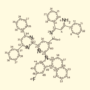 C=C(/N=C(\C=C(/N)c1ccccc1)c1ccccc1)c1cc(-c2nc(-c3ccccc3)cc(-c3ccccc3)n2)nc(-n2c3ccc(F)cc3c3c4ccccc4ccc32)c1